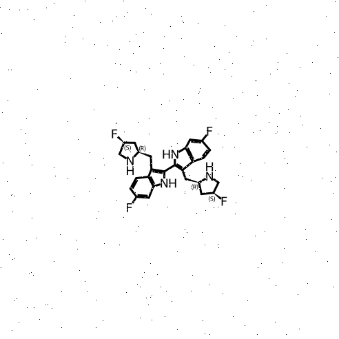 Fc1ccc2c(C[C@@H]3C[C@H](F)CN3)c(-c3[nH]c4cc(F)ccc4c3C[C@@H]3C[C@H](F)CN3)[nH]c2c1